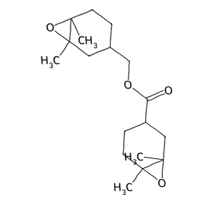 CC12CCC(COC(=O)C3CCC4(C)OC4(C)C3)CC1(C)O2